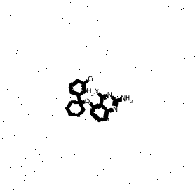 Nc1nc(N)c2c(OC3(c4cccc(Cl)c4)CCCCC3)cccc2n1